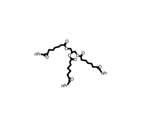 CCCC1OC1CCCCCC(=O)OCC(COC(=O)CCCCCC1OC1CCC)OC(=O)CCCCCC1OC1CCC